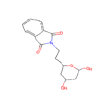 O=C1c2ccccc2C(=O)N1CCC1CC(O)CC(O)O1